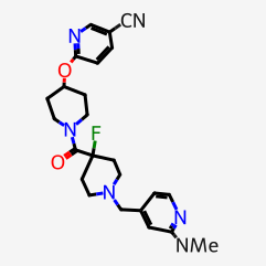 CNc1cc(CN2CCC(F)(C(=O)N3CCC(Oc4ccc(C#N)cn4)CC3)CC2)ccn1